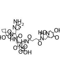 Nc1nc(C(=NOC2(C(=O)O)CCC2)C(=O)N[C@@H]2C(=O)N(S(=O)(=O)O)[C@H]2CNC(=O)CCC(=O)NCc2cc(=O)c(O)cn2O)cs1